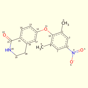 Cc1cc([N+](=O)[O-])cc(C)c1Oc1ccc2c(c1)CCNC2=O